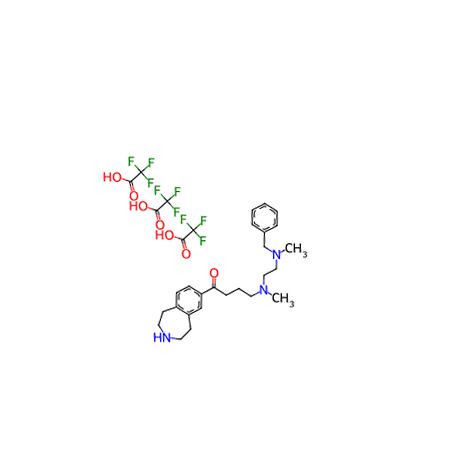 CN(CCCC(=O)c1ccc2c(c1)CCNCC2)CCN(C)Cc1ccccc1.O=C(O)C(F)(F)F.O=C(O)C(F)(F)F.O=C(O)C(F)(F)F